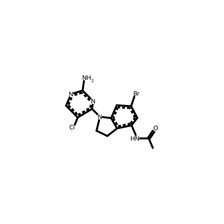 CC(=O)Nc1cc(Br)cc2c1CCN2c1nc(N)ncc1Cl